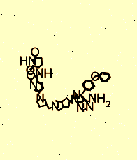 Nc1ncnc2c1c(-c1ccc(Oc3ccccc3)cc1)nn2C1CC2CN(CC3CCN(c4ccc(C(=O)NC5CCC(=O)NC5=O)nc4)C3)CC2C1